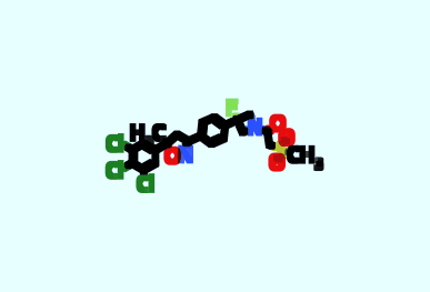 CC1(c2cc(Cl)c(Cl)c(Cl)c2)CC(c2ccc(C3(F)CN(C(=O)CS(C)(=O)=O)C3)cc2)=NO1